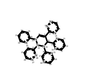 [C]1=C(c2nccnn2)C(c2ncccn2)N(c2cnccn2)N(c2cccnn2)N1c1ccccn1